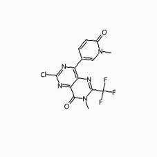 Cn1cc(-c2nc(Cl)nc3c(=O)n(C)c(C(F)(F)F)nc23)ccc1=O